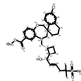 CC(C)(C)OC(=O)c1ccc2c(c1)N(C[C@@H]1CC[C@H]1[C@@H](O)/C=C/CC(C)(C)S(N)(=O)=O)C[C@@]1(CCCc3cc(Cl)ccc31)CO2